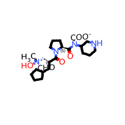 C[N+](O)(C=O)C[C@@H](CC1CCCC1)C(=O)N1CCC[C@H]1C(=O)N(C(=O)[O-])C1CCCNC1